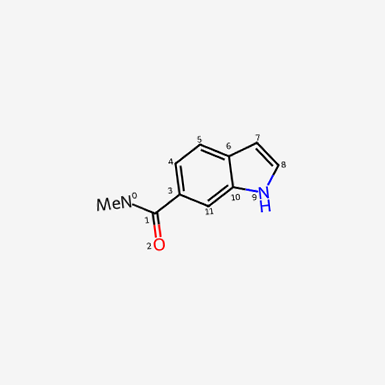 CNC(=O)c1ccc2cc[nH]c2c1